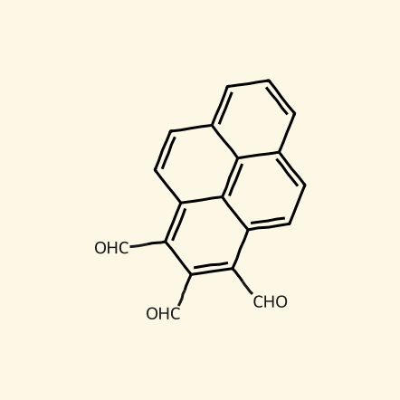 O=Cc1c(C=O)c2ccc3cccc4ccc(c1C=O)c2c34